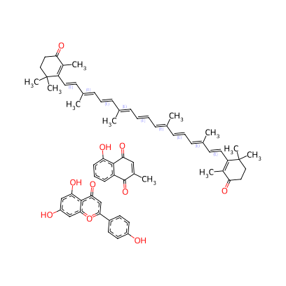 CC1=C(/C=C/C(C)=C/C=C/C(C)=C/C=C/C=C(C)/C=C/C=C(C)/C=C/C2=C(C)C(=O)CCC2(C)C)C(C)(C)CCC1=O.CC1=CC(=O)c2c(O)cccc2C1=O.O=c1cc(-c2ccc(O)cc2)oc2cc(O)cc(O)c12